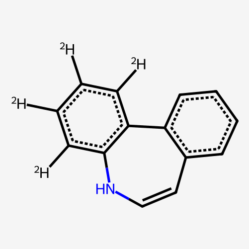 [2H]c1c([2H])c([2H])c2c(c1[2H])NC=Cc1ccccc1-2